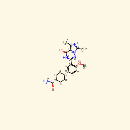 CCCc1nc(C)c2c(=O)[nH]c(-c3cc([C@H]4CC[C@@H](C(N)=O)CC4)ccc3OCC)nn12